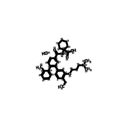 CCc1ccc(-c2nc(C(=O)NC3(C(=O)O)CCCCC3)ccc2-c2ccccc2C)cc1OCCCN(C)C.Cl